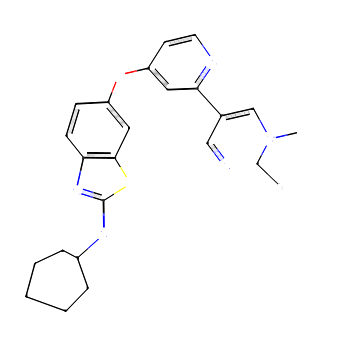 CC(C)CN(C)/C=C(\C=N)c1cc(Oc2ccc3nc(NC4CCCCC4)sc3c2)ccn1